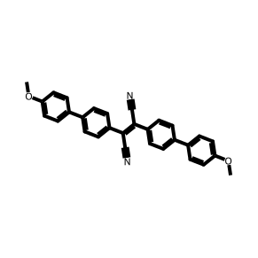 COc1ccc(-c2ccc(/C(C#N)=C(\C#N)c3ccc(-c4ccc(OC)cc4)cc3)cc2)cc1